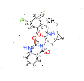 C[C@H](NC(=O)[C@H](CC1CC1)n1c(=O)[nH]c2ccccc2c1=O)c1ccc(F)cc1F